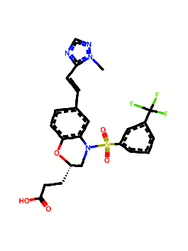 Cn1ncnc1/C=C/c1ccc2c(c1)N(S(=O)(=O)c1cccc(C(F)(F)F)c1)C[C@H](CCC(=O)O)O2